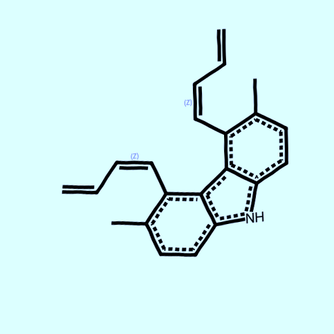 C=C/C=C\c1c(C)ccc2[nH]c3ccc(C)c(/C=C\C=C)c3c12